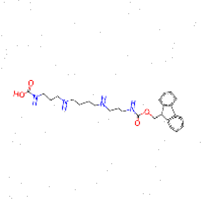 O=C(O)NCCCNCCCCNCCCNC(=O)OCC1c2ccccc2-c2ccccc21